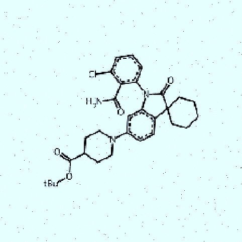 CC(C)(C)OC(=O)C1CCN(c2ccc3c(c2)N(c2cccc(Cl)c2C(N)=O)C(=O)C32CCCCC2)CC1